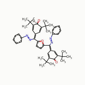 CC(C)(C)C1=CC(=C(/N=N/c2ccccc2)c2ccc(C(/N=N/c3ccccc3)=C3C=C(C(C)(C)C)C(=O)C(C(C)(C)C)=C3)o2)C=C(C(C)(C)C)C1=O